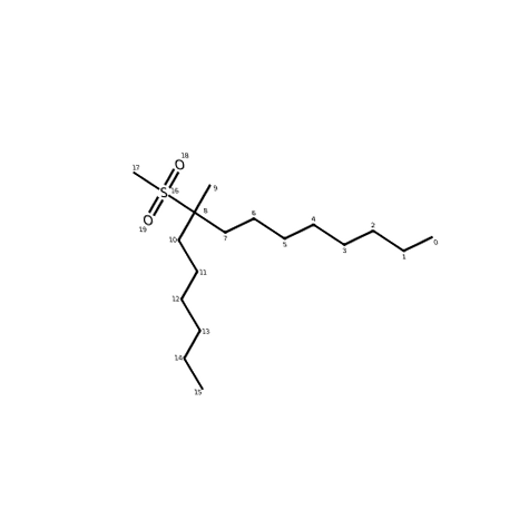 CCCCCCCCC(C)(CCCCCC)S(C)(=O)=O